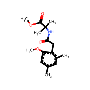 COC(=O)C(C)(C)NC(=O)Cc1c(C)cc(C)cc1OC